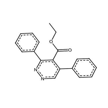 CCOC(=O)c1c(-c2ccccc2)cnnc1-c1ccccc1